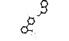 CC(=O)C(c1ccccc1-c1ccc(OCc2ccc3ccccc3n2)c(F)c1)S(N)(=O)=O